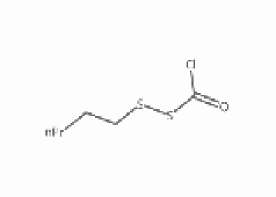 CCCCCSSC(=O)Cl